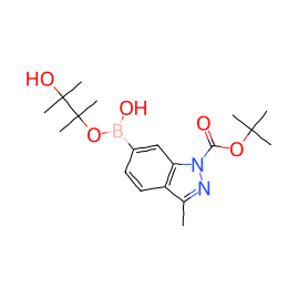 Cc1nn(C(=O)OC(C)(C)C)c2cc(B(O)OC(C)(C)C(C)(C)O)ccc12